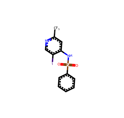 O=S(=O)(Nc1cc(C(F)(F)F)ncc1I)c1ccccc1